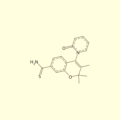 CC1=C(n2ccccc2=O)c2ccc(C(N)=S)cc2OC1(C)C